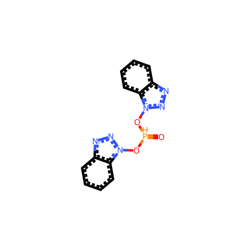 O=[PH](On1nnc2ccccc21)On1nnc2ccccc21